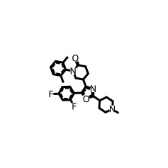 Cc1cccc(C)c1N1CC(c2nc(C3CCN(C)CC3)oc2-c2ccc(F)cc2F)CCC1=O